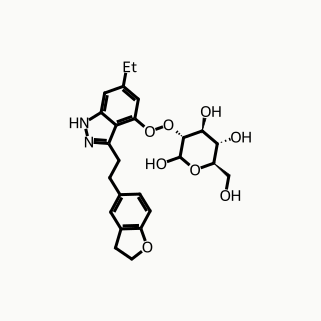 CCc1cc(OO[C@H]2C(O)O[C@H](CO)[C@@H](O)[C@@H]2O)c2c(CCc3ccc4c(c3)CCO4)n[nH]c2c1